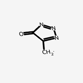 [CH2]C1=NN=NC1=O